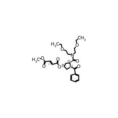 CCOCCN(CCOCC)C(=O)[C@@H]1C[C@@H](OC(=O)/C=C/C(=O)OC)CN1C(=O)c1ccccc1